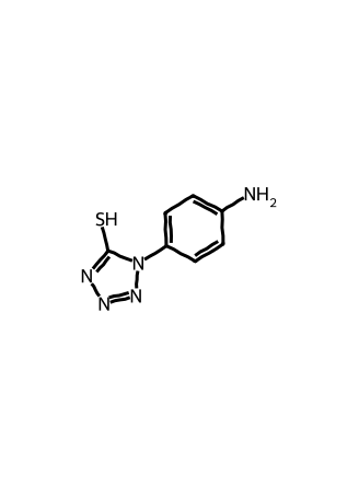 Nc1ccc(-n2nnnc2S)cc1